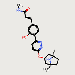 CNC(=O)/C=C/c1ccc(-c2ccc(O[C@H]3C[C@@H]4CC[C@](C)(C3)N4)nn2)c(O)c1